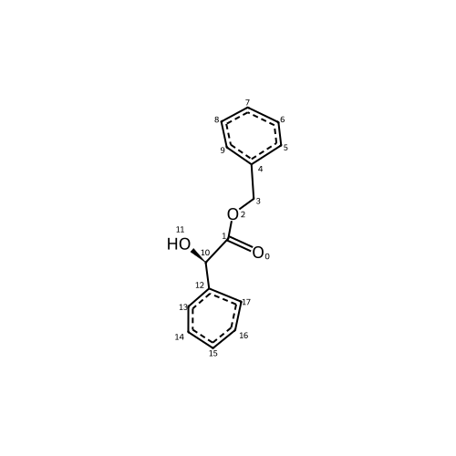 O=C(OCc1ccccc1)[C@H](O)c1ccccc1